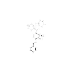 Cl.Cl.OC1(CC(c2ccc(OCc3ccccc3)c(Cl)c2)N2CCNCC2)CCCCC1